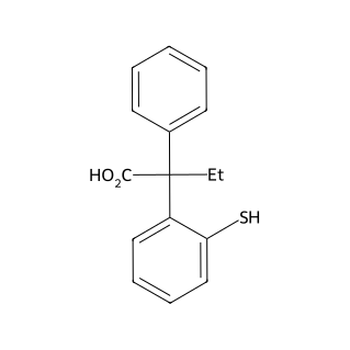 CCC(C(=O)O)(c1ccccc1)c1ccccc1S